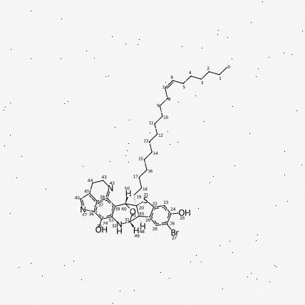 CCCCCC/C=C\CCCCCCCCCCCC[C@]12Sc3cc(O)c(Br)cc3[C@H]1[C@@H]1Nc3c(O)c4c5c(c3[C@H]2O1)=NCCC=5C=N4